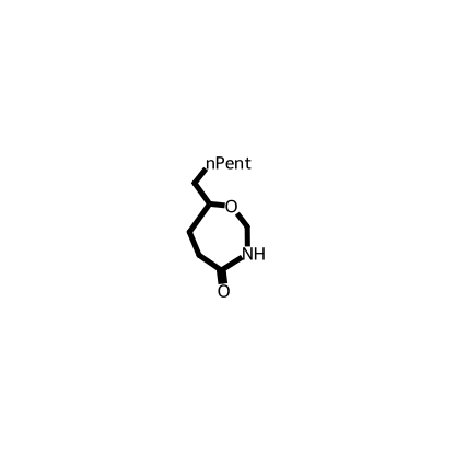 CCCCCCC1CCC(=O)NCO1